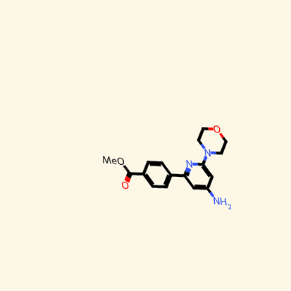 COC(=O)c1ccc(-c2cc(N)cc(N3CCOCC3)n2)cc1